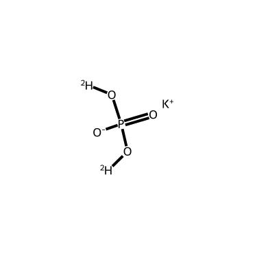 [2H]OP(=O)([O-])O[2H].[K+]